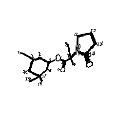 CC1CC(OC(=O)C(C)(C)N2CCCC2=O)CC(C)(C)C1